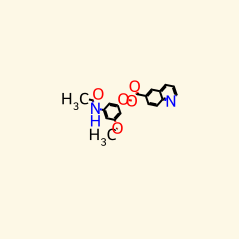 COc1cc(NC(C)=O)cc(OOC(=O)c2ccc3ncccc3c2)c1